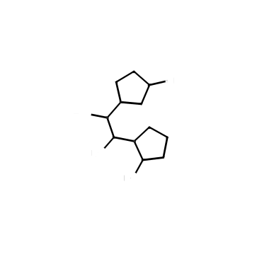 CC1CCC(C(C)C(C)C2CCCC2C)C1